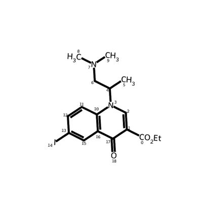 CCOC(=O)c1cn(C(C)CN(C)C)c2ccc(I)cc2c1=O